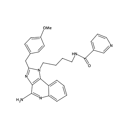 COc1ccc(Cc2nc3c(N)nc4ccccc4c3n2CCCCNC(=O)c2cccnc2)cc1